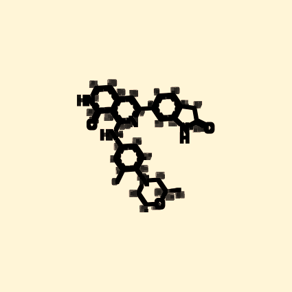 Cc1cc(Nc2nc(-c3ccc4c(c3)NC(=O)C4)cc3cc[nH]c(=O)c23)ccc1N1CCO[C@H](C)C1